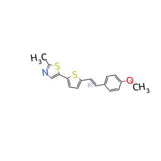 COc1ccc(/C=C/c2ccc(-c3cnc(C)s3)s2)cc1